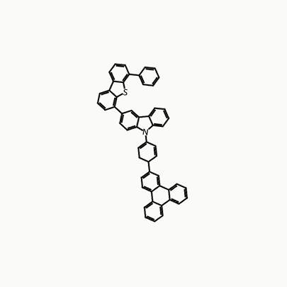 C1=CC(c2ccc3c4ccccc4c4ccccc4c3c2)CC=C1n1c2ccccc2c2cc(-c3cccc4c3sc3c(-c5ccccc5)cccc34)ccc21